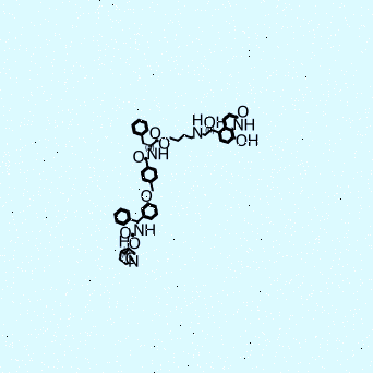 O=C(NC(c1ccccc1)c1cccc(OCc2ccc(C(=O)N[C@@H](Cc3ccccc3)C(=O)OCCCCNC[C@H](O)c3ccc(O)c4[nH]c(=O)ccc34)cc2)c1)O[C@H]1CN2CCC1CC2